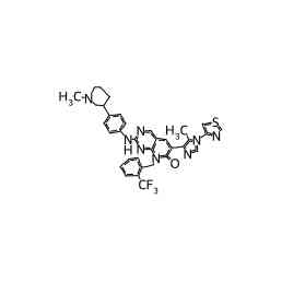 Cc1c(-c2cc3cnc(Nc4ccc(C5CCCN(C)C5)cc4)nc3n(Cc3ccccc3C(F)(F)F)c2=O)ncn1-c1cscn1